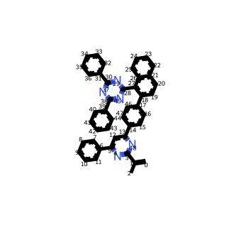 C=C(C)c1nc(-c2ccccc2)cc(-c2ccc(-c3ccc4ccccc4c3-c3nc(-c4ccccc4)nc(-c4ccccc4)n3)cc2)n1